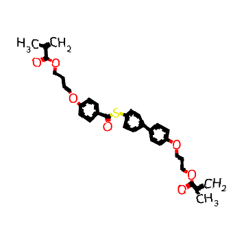 C=C(C)C(=O)OCCCCOc1ccc(C(=O)Sc2ccc(-c3ccc(OCCCOC(=O)C(=C)C)cc3)cc2)cc1